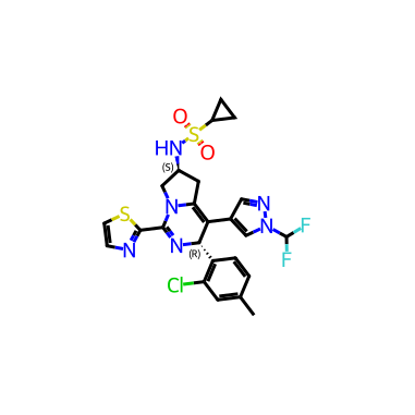 Cc1ccc([C@@H]2N=C(c3nccs3)N3C[C@@H](NS(=O)(=O)C4CC4)CC3=C2c2cnn(C(F)F)c2)c(Cl)c1